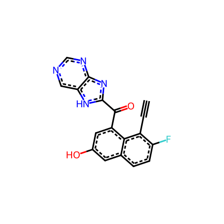 C#Cc1c(F)ccc2cc(O)cc(C(=O)c3nc4ncncc4[nH]3)c12